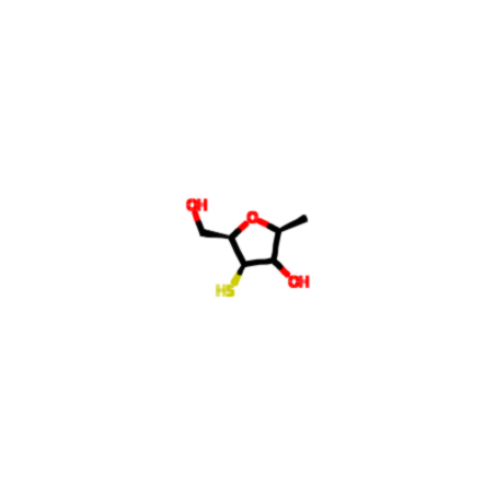 C[C@@H]1O[C@H](CO)[C@H](S)C1O